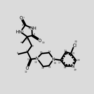 CC(CC1(C)NC(=O)NC1=O)C(=O)N1CCN(c2cncc(Cl)c2)CC1